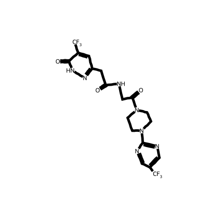 O=C(Cc1cc(C(F)(F)F)c(=O)[nH]n1)NCC(=O)N1CCN(c2ncc(C(F)(F)F)cn2)CC1